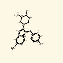 N#Cc1ccc(Cn2c(N3CC[C@H](F)[C@H](N)C3)nc3cc(C#N)ccc32)nc1